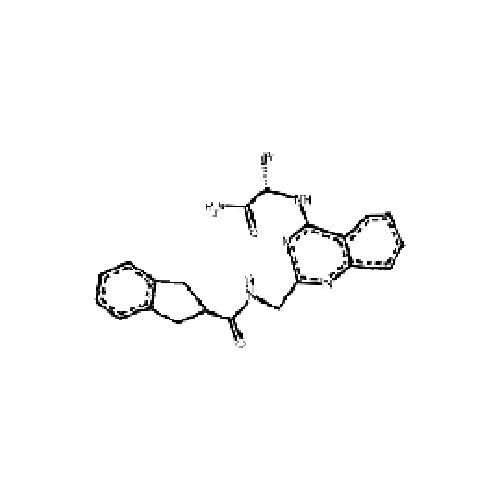 CC(C)[C@H](Nc1nc(CNC(=O)C2Cc3ccccc3C2)nc2ccccc12)C(N)=O